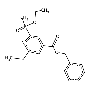 CCOP(C)(=O)c1cc(C(=O)OCc2ccccc2)cc(CC)n1